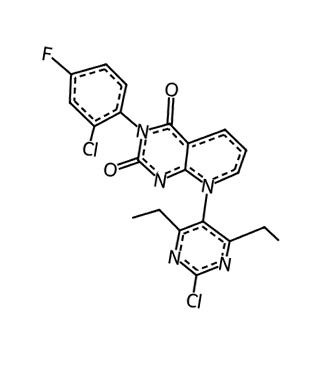 CCc1nc(Cl)nc(CC)c1-n1cccc2c(=O)n(-c3ccc(F)cc3Cl)c(=O)nc1-2